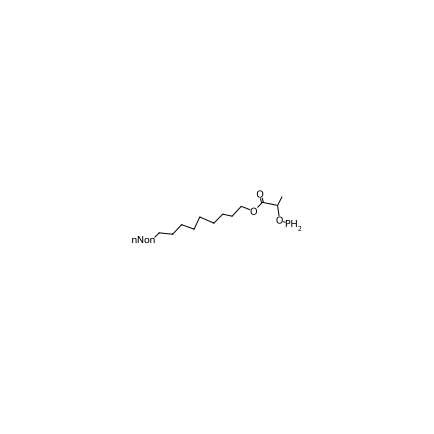 CCCCCCCCCCCCCCCCCCOC(=O)C(C)OP